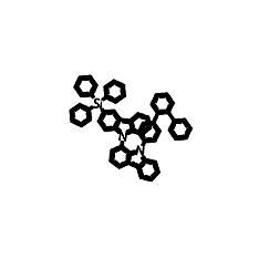 c1ccc(-c2ccccc2-c2ccc(-n3c4ccccc4c4cccc(-n5c6ccccc6c6cc([Si](c7ccccc7)(c7ccccc7)c7ccccc7)ccc65)c43)cc2)cc1